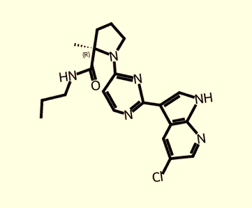 CCCNC(=O)[C@@]1(C)CCCN1c1ccnc(-c2c[nH]c3ncc(Cl)cc23)n1